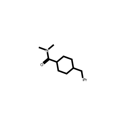 CC(C)CC1CCC(C(=O)N(C)C)CC1